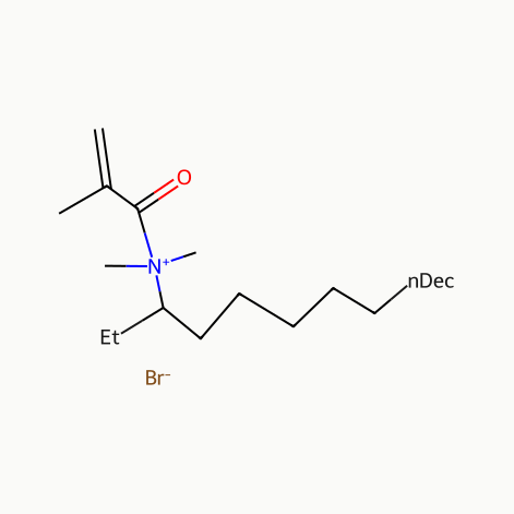 C=C(C)C(=O)[N+](C)(C)C(CC)CCCCCCCCCCCCCCC.[Br-]